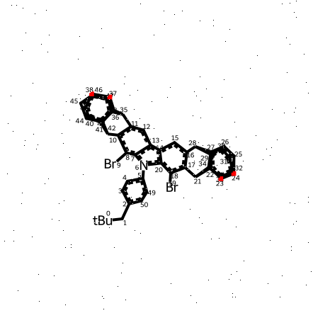 CC(C)(C)Cc1ccc(-n2c3c(Br)c4c(cc3c3cc5c(c(Br)c32)C2c3ccccc3C5c3ccccc32)C2c3ccccc3C4c3ccccc32)cc1